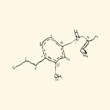 CCCc1ccc(NC(C)=O)cc1O